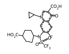 O=C(O)c1cn(C2CC2)c2cc(N(C3CCC(C(=O)O)CC3)S(=O)(=O)C(F)(F)F)c(F)cc2c1=O